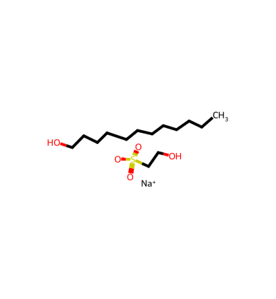 CCCCCCCCCCCCO.O=S(=O)([O-])CCO.[Na+]